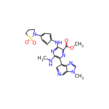 CNc1nc(Nc2ccc(N3CCCS3(=O)=O)cc2)c(C(=O)OC)nc1-c1cncc2c1ncn2C